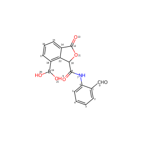 O=Cc1ccccc1NC(=O)C1OC(=O)c2cccc(B(O)O)c21